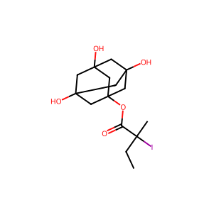 CCC(C)(I)C(=O)OC12CC3(O)CC(O)(CC(O)(C3)C1)C2